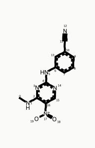 CNc1nc(Nc2cccc(C#N)c2)ncc1[N+](=O)[O-]